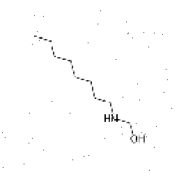 CCCCCCCCNCO